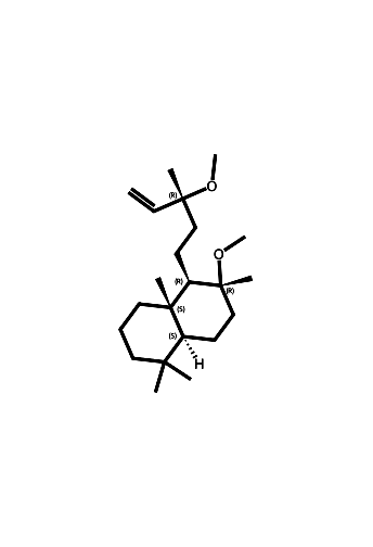 C=C[C@@](C)(CC[C@@H]1[C@@]2(C)CCCC(C)(C)[C@@H]2CC[C@@]1(C)OC)OC